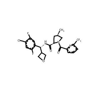 C[C@@H]1C[C@H](C(=O)N[C@@H](c2cc(F)c(Cl)cc2F)C2COC2)N(C(=O)c2cccc(C(F)(F)F)n2)C1